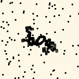 CCCOc1cc(N2CCCN(C(=O)OC(C)(C)C)CC2)cnc1Br